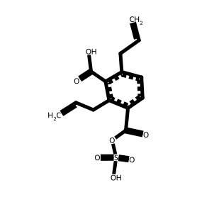 C=CCc1ccc(C(=O)OS(=O)(=O)O)c(CC=C)c1C(=O)O